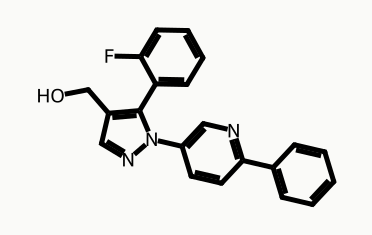 OCc1cnn(-c2ccc(-c3ccccc3)nc2)c1-c1ccccc1F